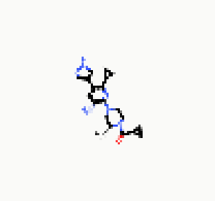 C[C@@H]1CN(c2nc(C3CC3)c(C3C=NNC3)cc2N)CCN1C(=O)C1CC1